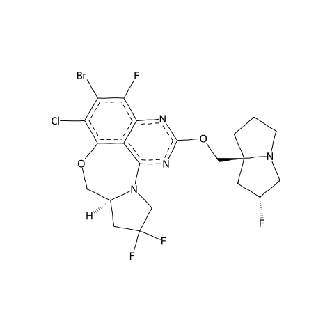 Fc1c(Br)c(Cl)c2c3c(nc(OC[C@@]45CCCN4C[C@H](F)C5)nc13)N1CC(F)(F)C[C@H]1CO2